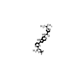 CC(C)n1cc(C(=O)Nc2cc3[nH]c(-c4ccnc(N(C)CC(F)(F)F)n4)cc3cn2)cn1